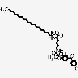 CCC=CCC=CCC=CCC=CCC=CCC=CCCC(=O)NC(CCCCNC(=O)C(C)(C)Oc1ccc(C(=O)c2ccc(Cl)cc2)cc1)C(=O)O